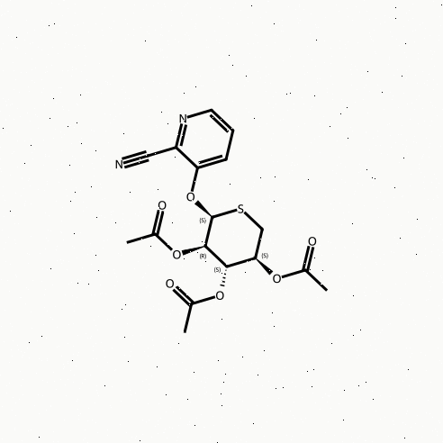 CC(=O)O[C@@H]1[C@@H](OC(C)=O)[C@@H](Oc2cccnc2C#N)SC[C@H]1OC(C)=O